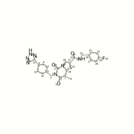 Cc1c(=O)n(Cc2ccc(-c3nn[nH]n3)cc2)c(=O)n2cc(C(=O)NCc3ccc(F)cc3)sc12